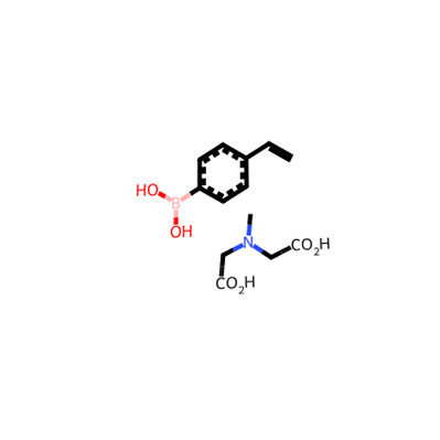 C=Cc1ccc(B(O)O)cc1.CN(CC(=O)O)CC(=O)O